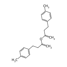 C=C(CCc1ccc(C)cc1)OC(=C)CCc1ccc(C)cc1